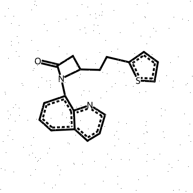 O=C1CC(CCc2cccs2)N1c1cccc2cccnc12